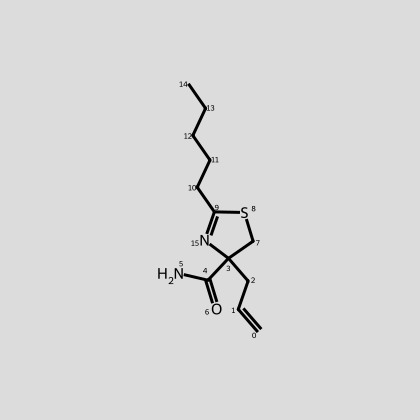 C=CCC1(C(N)=O)CSC(CCCCC)=N1